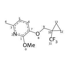 COc1nc(C)ccc1OCC1(C(F)(F)F)CC1